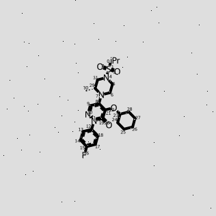 CC(C)S(=O)(=O)N1CCN(c2cnn(-c3ccc(F)cc3)c(=O)c2OC2CCCCC2)[C@H](C)C1